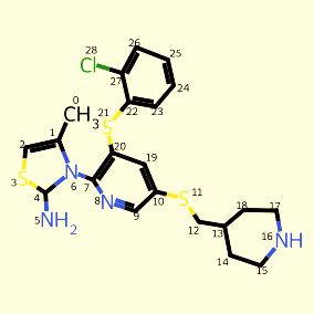 CC1=CSC(N)N1c1ncc(SCC2CCNCC2)cc1Sc1ccccc1Cl